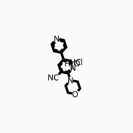 Cl.N#Cc1cc(-c2ccncc2)cnc1N1CCOCC1.O